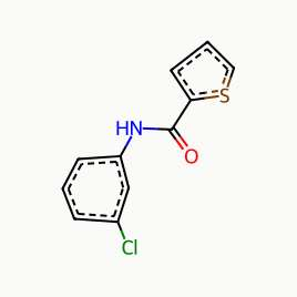 O=C(Nc1cccc(Cl)c1)c1cccs1